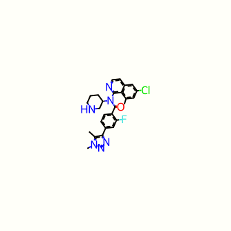 Cc1cc(Cl)cc2ccnc(N(C(=O)c3ccc(-c4nnn(C)c4C)cc3F)[C@@H]3CCCNC3)c12